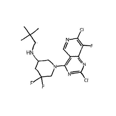 CC(C)(C)[CH]NC1CN(c2nc(Cl)nc3c(F)c(Cl)ncc23)CC(F)(F)C1